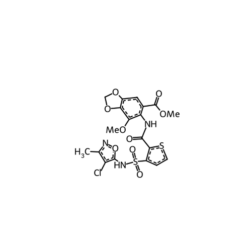 COC(=O)c1cc2c(c(OC)c1NC(=O)c1sccc1S(=O)(=O)Nc1onc(C)c1Cl)OCO2